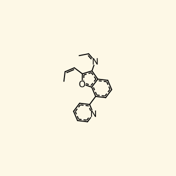 C/C=C\c1oc2c(-c3ccccn3)cccc2c1/N=C\C